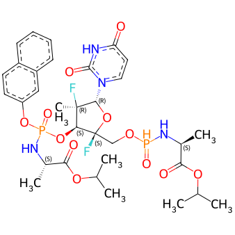 CC(C)OC(=O)[C@H](C)N[PH](=O)OC[C@@]1(F)O[C@@H](n2ccc(=O)[nH]c2=O)[C@](C)(F)[C@@H]1OP(=O)(N[C@@H](C)C(=O)OC(C)C)Oc1ccc2ccccc2c1